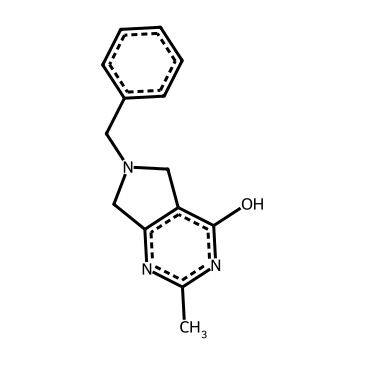 Cc1nc(O)c2c(n1)CN(Cc1ccccc1)C2